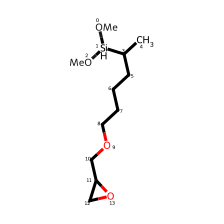 CO[SiH](OC)C(C)CCCCOCC1CO1